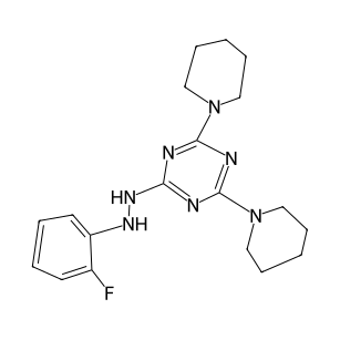 Fc1ccccc1NNc1nc(N2CCCCC2)nc(N2CCCCC2)n1